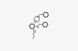 CCCOc1ccccc1SC(c1ccccc1)[C@H]1CN(Cc2ccccc2)CCO1